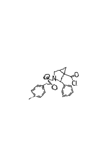 Cc1ccc(S(=O)(=O)N2CC3CC3(C(=O)Cl)C2c2ccccc2)cc1